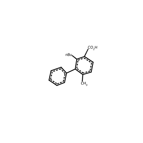 CCCCc1c(C(=O)O)ccc(C)c1-c1ccccc1